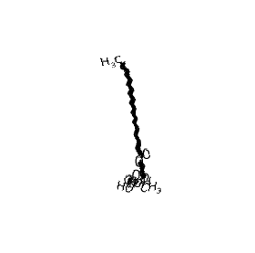 CCCCCCCCCCCCCCCCCCCC(=O)OCC(OCC)OP(=O)(O)O